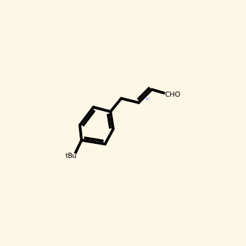 CC(C)(C)c1ccc(C/C=C/C=O)cc1